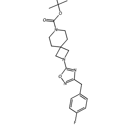 CC(C)(C)OC(=O)N1CCC2(CC1)CN(c1nc(Cc3ccc(F)cc3)no1)C2